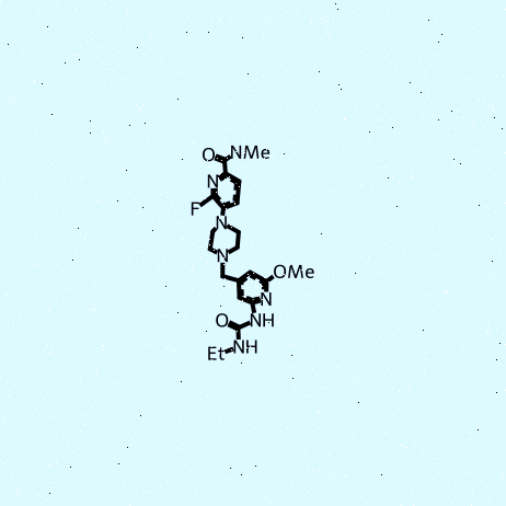 CCNC(=O)Nc1cc(CN2CCN(c3ccc(C(=O)NC)nc3F)CC2)cc(OC)n1